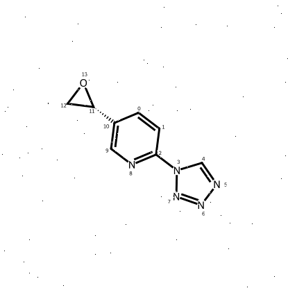 c1cc(-n2cnnn2)ncc1[C@@H]1CO1